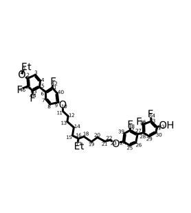 CCOc1ccc(-c2ccc(OCCCCCC(CC)CCCCCOc3ccc(-c4ccc(O)c(F)c4F)c(F)c3)cc2F)c(F)c1F